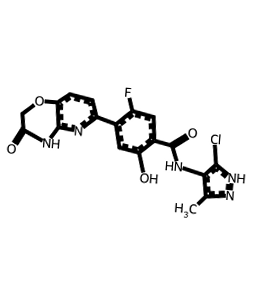 Cc1n[nH]c(Cl)c1NC(=O)c1cc(F)c(-c2ccc3c(n2)NC(=O)CO3)cc1O